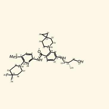 CSc1ccc(NC(=O)c2ccc(NS[C@@H](C)CO)cc2N2CCC3(CC2)CC3)nc1N1CCC(F)(F)CC1